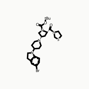 CC(C)(C)OC(=O)N1C[C@@H](N2CCC(N3CCc4cc(Br)ccc43)CC2)C[C@H]1C(=O)N1CCSC1